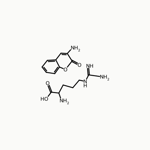 N=C(N)NCCCC(N)C(=O)O.Nc1cc2ccccc2oc1=O